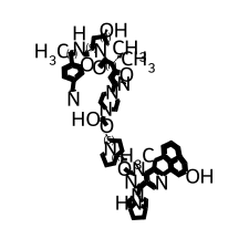 CC1c2c(ncc3c(N4CC5CCC(C4)N5)nc(OC[C@]45CCCN4[C@H](COC(O)N4CCN(c6cc([C@H](C(=O)N7C[C@H](O)C[C@H]7C(=O)N[C@@H](C)c7ccc(C#N)cc7)C(C)C)on6)CC4)CC5)nc23)-c2cc(O)cc3cccc1c23